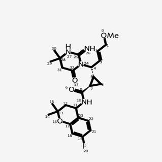 COC/C=C/C([C@@H]1C[C@H]1C(=O)NC1CC(C)(C)Oc2cc(F)ccc21)N1C(=N)NC(C)(C)CC1=O